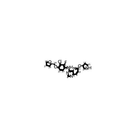 Fc1c(Nc2ncnc3ccc(O[C@H]4CCNC4)nc23)ccc(OC[C@H]2CCCO2)c1Cl